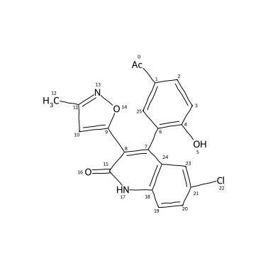 CC(=O)c1ccc(O)c(-c2c(-c3cc(C)no3)c(=O)[nH]c3ccc(Cl)cc23)c1